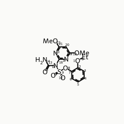 CCOc1ccccc1OS(=O)(=O)N(C(N)=O)c1nc(OC)cc(OC)n1